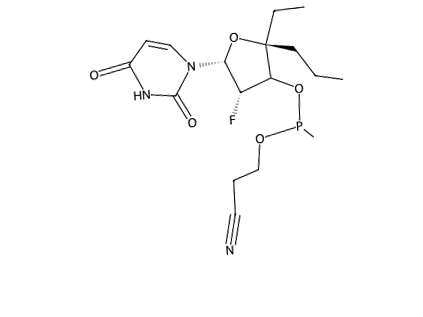 CCC[C@]1(CC)O[C@@H](n2ccc(=O)[nH]c2=O)[C@@H](F)C1OP(C)OCCC#N